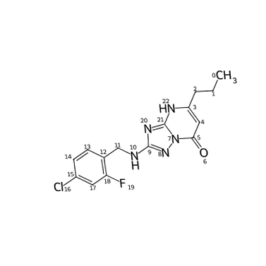 CCCc1cc(=O)n2nc(NCc3ccc(Cl)cc3F)nc2[nH]1